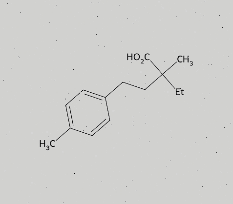 CCC(C)(CCc1ccc(C)cc1)C(=O)O